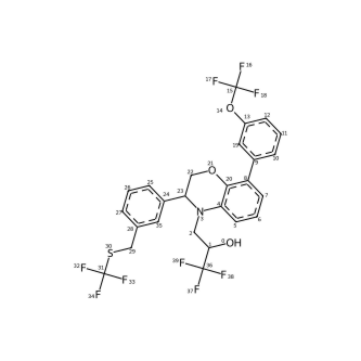 OC(CN1c2cccc(-c3cccc(OC(F)(F)F)c3)c2OCC1c1cccc(CSC(F)(F)F)c1)C(F)(F)F